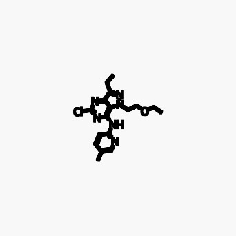 CCOCCn1nc(CC)c2nc(Cl)nc(Nc3ccc(C)cn3)c21